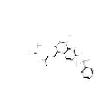 CCO/C(=C/C=C1/c2ccc(OC(F)(F)c3ccccc3)c(F)c2C(F)C(F)C1C)CF